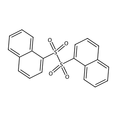 O=S(=O)(c1cccc2ccccc12)S(=O)(=O)c1cccc2ccccc12